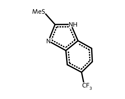 CSc1nc2cc(C(F)(F)F)ccc2[nH]1